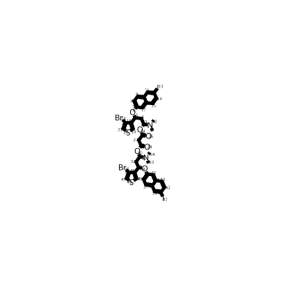 CN(C)C(CC(Oc1ccc2cc(I)ccc2c1)c1cscc1Br)OC(=O)CC(=O)OC(CC(Oc1ccc2cc(I)ccc2c1)c1cscc1Br)N(C)C